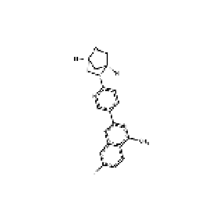 Cc1nc(-c2ccc(N3C[C@@H]4C[C@H]3CO4)nc2)nc2cc(F)ccc12